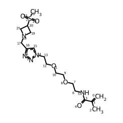 C=C(C)C(=O)NCCOCCOCCn1cc(CN2CC(S(C)(=O)=O)C2)nn1